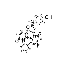 Cc1ccccc1-n1nc(-c2oc(NC3CCC(O)CC3)nc2-c2ccc(F)cc2F)ccc1=O